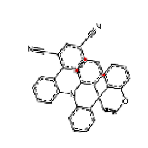 N#Cc1cnc(-c2ccccc2N2c3ccccc3C3(c4ccccc4Oc4ccccc43)c3ccccc32)c(C#N)c1